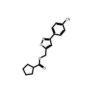 N#Cc1ccc(-c2cc(COC(=O)C3CCCC3)on2)cc1